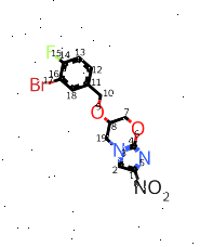 O=[N+]([O-])c1cn2c(n1)OCC(OCc1ccc(F)c(Br)c1)C2